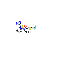 C#CCN(C(=O)CCSCCC(F)(F)F)c1sc(-c2cncnc2)nc1C